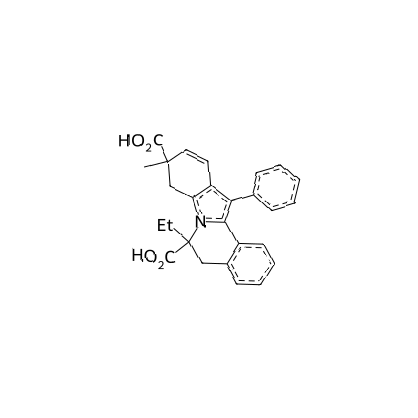 CCC1(C(=O)O)Cc2ccccc2-c2c(-c3ccccc3)c3c(n21)CC(C)(C(=O)O)C=C3